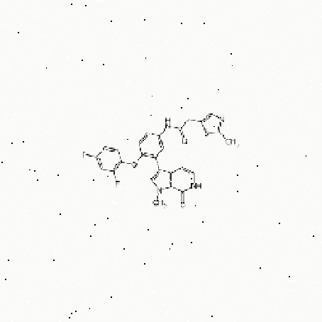 Cc1ncc(CC(=O)Nc2ccc(Oc3ccc(F)cc3F)c(-c3cn(C)c4c(=O)[nH]ccc34)c2)s1